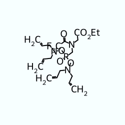 C=CCN(CC=C)OP(=O)(CN(CC(=O)OCC)C(=O)C(F)(F)F)ON(CC=C)CC=C